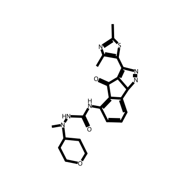 Cc1nc(C)c(C2=C3C(=O)c4c(NC(=O)NN(C)C5CCOCC5)cccc4C3N=N2)s1